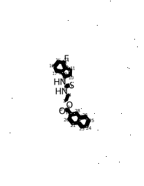 O=C(OCCNC(=S)NC1CCc2c(F)cccc21)c1ccc2ccccc2c1